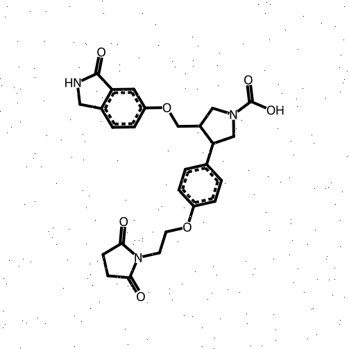 O=C1NCc2ccc(OCC3CN(C(=O)O)CC3c3ccc(OCCN4C(=O)CCC4=O)cc3)cc21